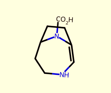 O=C(O)N1C2=CNCCC1CC2